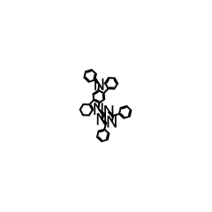 c1ccc(-c2nc(-c3ccccc3)nc(-n3c4c(c5cc6c(cc53)c3ccccc3n6-c3ccccc3)CCCC4)n2)cc1